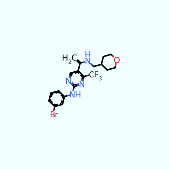 C=C(NCC1CCOCC1)c1cnc(Nc2cccc(Br)c2)nc1C(F)(F)F